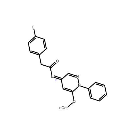 CCCCCCCCOc1c/c(=N/C(=O)Cc2ccc(F)cc2)cnn1-c1ccccc1